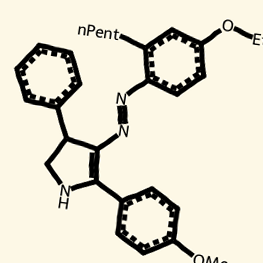 CCCCCc1cc(OCC)ccc1N=NC1=C(c2ccc(OC)cc2)NCC1c1ccccc1